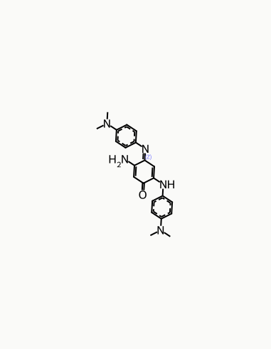 CN(C)c1ccc(/N=C2/C=C(Nc3ccc(N(C)C)cc3)C(=O)C=C2N)cc1